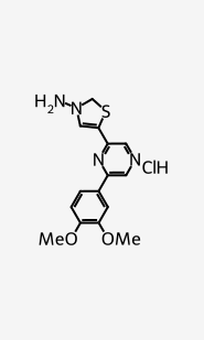 COc1ccc(-c2cncc(C3=CN(N)CS3)n2)cc1OC.Cl